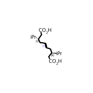 CC(C)[C@H](C/C=C/C[C@@H](CC(=O)O)C(C)C)CC(=O)O